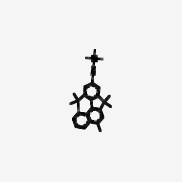 Cc1cc2c3c4c(cccc14)C(C)(C)c1cc(C#C[Si](C)(C)C)cc(c1-3)C2(C)C